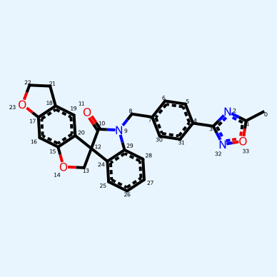 Cc1nc(-c2ccc(CN3C(=O)C4(COc5cc6c(cc54)CCO6)c4ccccc43)cc2)no1